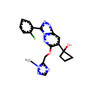 Cn1ncnc1COc1nn2c(-c3ccccc3F)nnc2cc1C1(O)CCC1